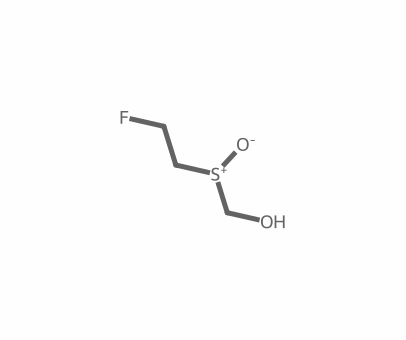 [O-][S+](CO)CCF